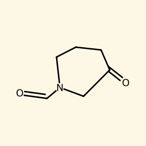 O=CN1CCCC(=O)C1